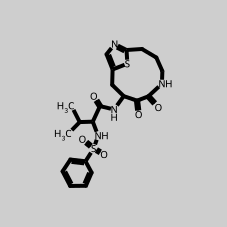 CC(C)C(NS(=O)(=O)c1ccccc1)C(=O)NC1Cc2cnc(s2)CCCNC(=O)C1=O